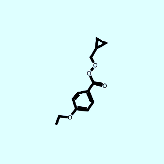 CCOc1ccc(C(=O)OOCC2CC2)cc1